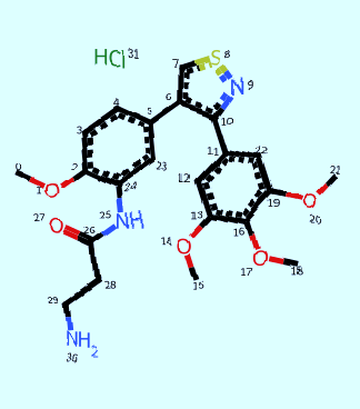 COc1ccc(-c2csnc2-c2cc(OC)c(OC)c(OC)c2)cc1NC(=O)CCN.Cl